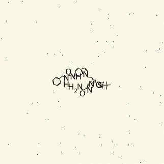 CC(C)(C)[Si](C)(C)OC[C@@H](CCn1ccc2ccc(NC(=O)NCc3ccccc3)cc21)n1cnc(C(N)=O)c1